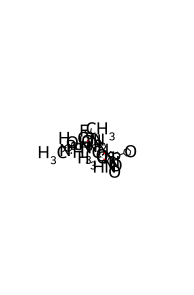 Cc1cc(-n2nc3c(c2-n2ccn(-c4ccc([P]5(O)CCN(C)CC5)cc4)c2=O)C(C)N(C(=O)c2cc4cc(C5CCOCC5)ccc4n2[C@@]2(c4noc(=O)[nH]4)C[C@@H]2C)CC3)cc(C)c1F